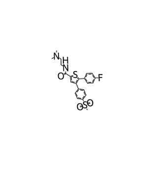 CN(C)CCNC(=O)c1cc(-c2ccc(S(C)(=O)=O)cc2)c(-c2ccc(F)cc2)s1